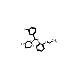 CCOc1ccccc1OC(c1cccc(F)c1)[C@@H]1CNCCO1